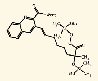 CCCCCC(=O)c1nc2ccccc2cc1C=CCCCCC(C)(O[Si](C)(C)C(C)(C)C)C(=O)OO[Si](C)(C)C(C)(C)C